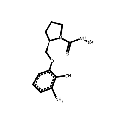 CC(C)(C)NC(=O)N1CCC[C@@H]1COc1cccc(N)c1C#N